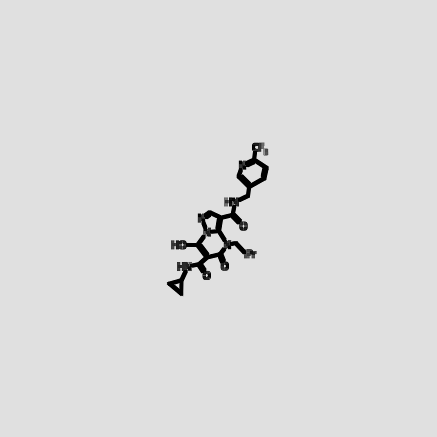 CC(C)Cn1c(=O)c(C(=O)NC2CC2)c(O)n2ncc(C(=O)NCc3ccc(C(F)(F)F)nc3)c12